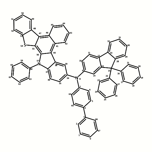 c1ccc(-c2ccc(N(c3ccc4c(c3)C(c3ccccc3)(c3ccccc3)c3ccccc3-4)c3ccc4c(c3)c3c5ccccc5c5c6ccccc6sc5c3n4-c3ccccc3)cc2)cc1